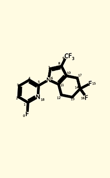 Fc1cccc(-n2cc(C(F)(F)F)c3c2CCC(F)(F)C3)n1